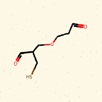 O=CCCOCC(C=O)CS